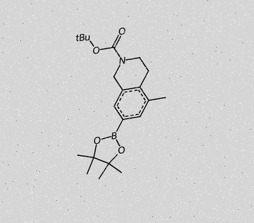 Cc1cc(B2OC(C)(C)C(C)(C)O2)cc2c1CCN(C(=O)OC(C)(C)C)C2